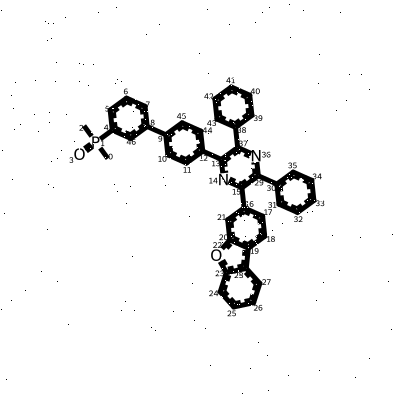 CP(C)(=O)c1cccc(-c2ccc(-c3nc(-c4ccc5c(c4)oc4ccccc45)c(-c4ccccc4)nc3-c3ccccc3)cc2)c1